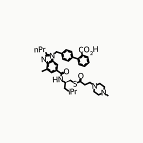 CCCc1nc2c(C)cc(C(=O)N[C@@H](CSC(=O)CCN3CCN(C)CC3)CC(C)C)cc2n1Cc1ccc(-c2ccccc2C(=O)O)cc1